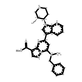 COC(=O)c1cnn2c(N(C)Cc3ccccc3)cc(-c3cn([C@@H]4CCOC[C@H]4F)c4ncccc34)nc12